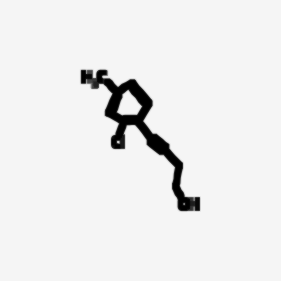 Cc1ccc(C#CCCO)c(Cl)c1